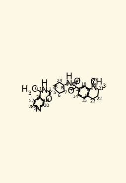 CC(NC(=O)[C@H]1CC[C@H](NS(=O)(=O)c2ccc3c(c2)N(C)CCC3)CC1)c1ccncc1